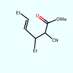 CC/C=C/C(CC)C(C#N)C(=O)OC